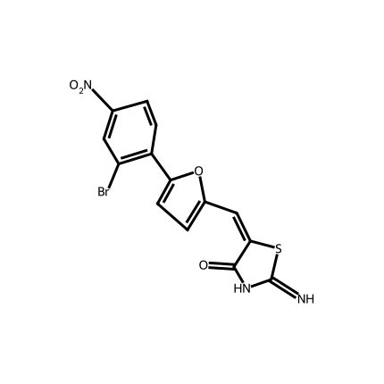 N=C1NC(=O)/C(=C\c2ccc(-c3ccc([N+](=O)[O-])cc3Br)o2)S1